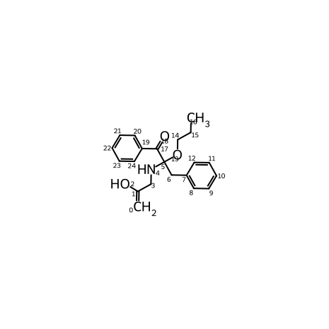 C=C(O)CNC(Cc1ccccc1)(OCCC)C(=O)c1ccccc1